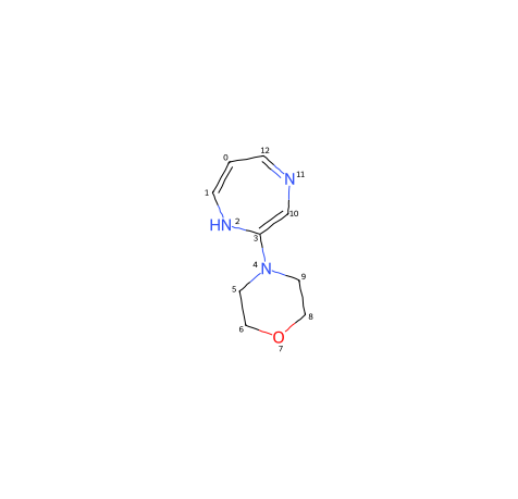 C1=CNC(N2CCOCC2)=CN=C1